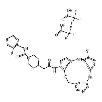 O=C(CC1CCN(C(=O)Nc2ccccc2F)CC1)Nc1ccc2cc1CCc1cncc(c1)Nc1ncc(Cl)c(n1)N2.O=C(O)C(F)(F)F.O=C(O)C(F)(F)F